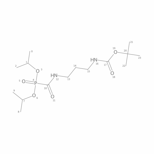 CC(C)OP(=O)(OC(C)C)C(=O)NCCCNC(=O)OC(C)(C)C